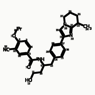 CC(C)Oc1ccc(C(=O)NC(CCO)Cc2ccc(-c3cn4c(n3)C(C)CCC4)cc2)cc1C#N